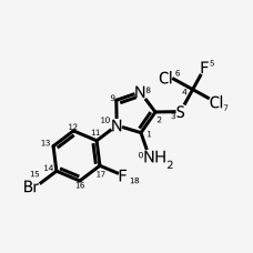 Nc1c(SC(F)(Cl)Cl)ncn1-c1ccc(Br)cc1F